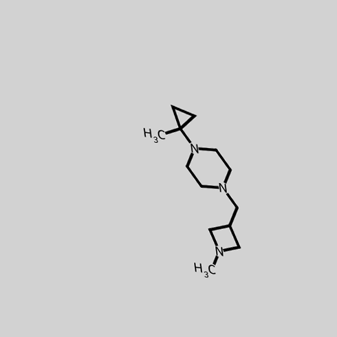 CN1CC(CN2CCN(C3(C)CC3)CC2)C1